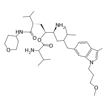 COCCCn1cc(C)c2ccc(CC(C[C@H](N)[C@H](C[C@H](C(=O)NC3CCOCC3)C(C)C)OC(=O)C(N)C(C)C)C(C)C)cc21